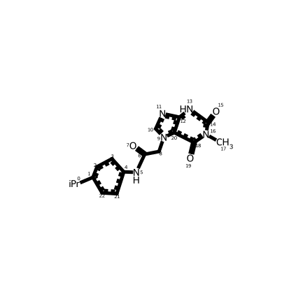 CC(C)c1ccc(NC(=O)Cn2cnc3[nH]c(=O)n(C)c(=O)c32)cc1